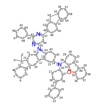 CC1(C)c2ccccc2-c2cc3c4cc(N(c5ccc(-c6ccccc6)cc5)c5cccc6c5oc5ccccc56)ccc4n(-c4cc(-c5ccc6c(c5)Cc5ccccc5-6)nc(-c5ccccc5)n4)c3cc21